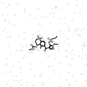 CCCS(=O)(=O)Oc1c(C(=O)c2ccc3c(c2C)C(OC(=O)NC)CCS3(=O)=O)cnn1CC